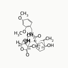 C=C1C[C@@]2([C@@H](C(=O)NCc3ccc(OC)cc3OC)C3C(C)=C[C@H]4OC(=O)[C@]3(C)[C@H]4O)CCC[C@]1(O)C2